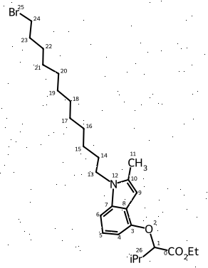 CCOC(=O)C(Oc1cccc2c1cc(C)n2CCCCCCCCCCCCBr)C(C)C